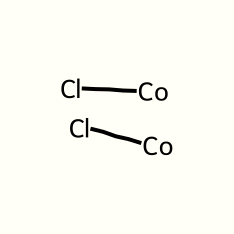 [Cl][Co].[Cl][Co]